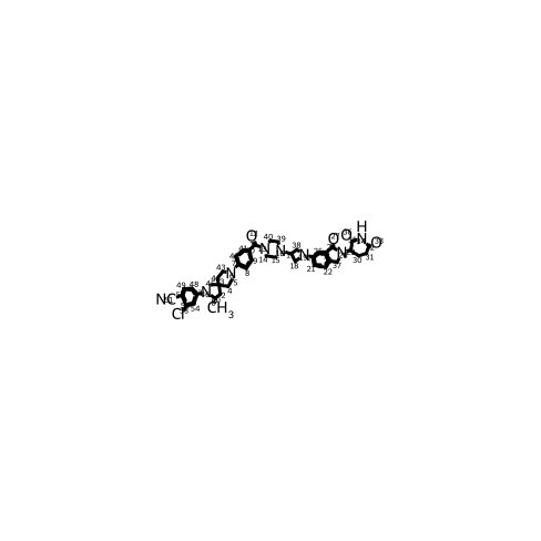 C[C@H]1CC2(CCN(c3ccc(C(=O)N4CCN(C5CN(c6ccc7c(c6)C(=O)N(C6CCC(=O)NC6=O)C7)C5)CC4)cc3)CC2)CN1c1ccc(C#N)c(Cl)c1